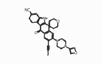 CC#Cc1cc2c(cc1N1CCN(C3COC3)CC1)C1(CCOCC1)c1[nH]c3c(c1C2=O)CCC(C#N)=C3